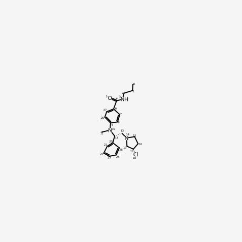 CCCNC(=O)c1ccc(N(C)[C@H](CN2CC[C@H](Cl)C2)c2ccccc2)cc1